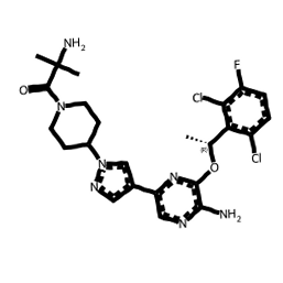 C[C@@H](Oc1nc(-c2cnn(C3CCN(C(=O)C(C)(C)N)CC3)c2)cnc1N)c1c(Cl)ccc(F)c1Cl